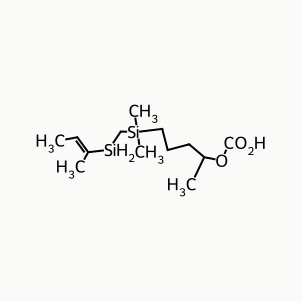 CC=C(C)[SiH2]C[Si](C)(C)CCCC(C)OC(=O)O